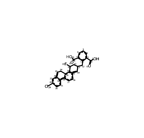 O=C(O)c1cccc(C(=O)O)c1CC1C=c2ccc3c(c2C(F)C1)CC=c1cc(Cl)ccc1=3